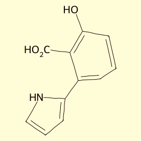 O=C(O)c1c(O)cccc1-c1ccc[nH]1